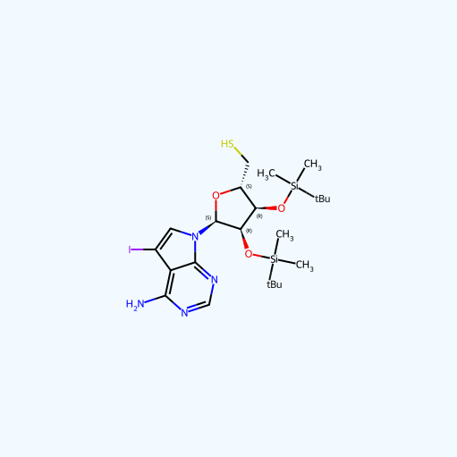 CC(C)(C)[Si](C)(C)O[C@@H]1[C@H](O[Si](C)(C)C(C)(C)C)[C@@H](CS)O[C@@H]1n1cc(I)c2c(N)ncnc21